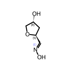 O/N=C/[C@@H]1C[C@@H](O)CO1